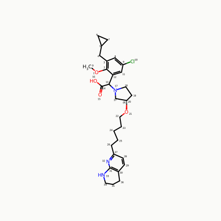 COc1c(CC2CC2)cc(Cl)cc1C(C(=O)O)N1CC[C@@H](OCCCCCc2ccc3c(n2)NCCC3)C1